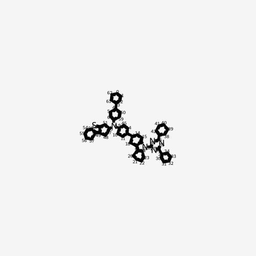 c1ccc(-c2ccc(N(c3ccc(-c4ccc5c(c4)c4ccccc4n5-c4nc(-c5ccccc5)nc(-c5ccccc5)n4)cc3)c3ccc4c(c3)sc3ccccc34)cc2)cc1